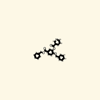 O=C(OCc1ccccc1)c1ccc(OCc2ccccc2)c(OC(=O)c2cccnc2)c1